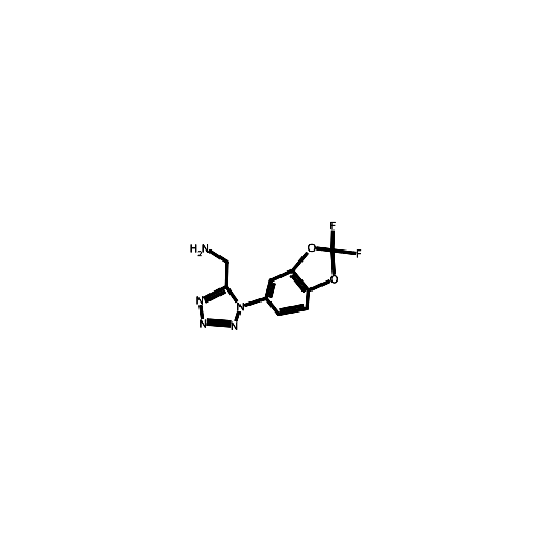 NCc1nnnn1-c1ccc2c(c1)OC(F)(F)O2